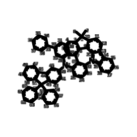 CC1(C)c2cccc3c2-c2c1ccc1c4ccccc4n(c21)-c1cccc(N(c2cccc(-c4ccccc4)c2)c2ccc4c(c2)-c2ccccc2C4(c2ccccc2)c2ccccc2)c1-3